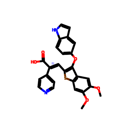 COc1cc2sc(/C=C(/C(=O)O)c3ccncc3)c(Oc3ccc4[nH]ccc4c3)c2cc1OC